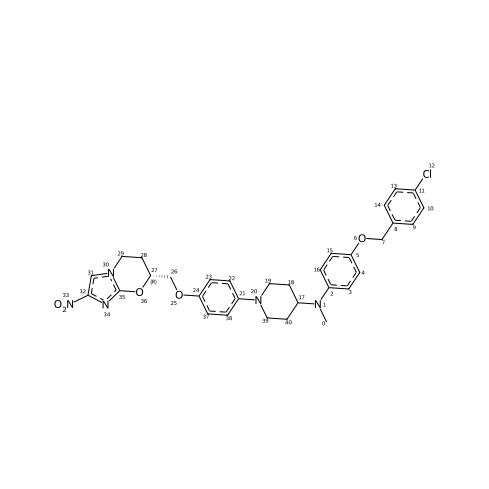 CN(c1ccc(OCc2ccc(Cl)cc2)cc1)C1CCN(c2ccc(OC[C@H]3CCn4cc([N+](=O)[O-])nc4O3)cc2)CC1